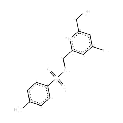 Cc1ccc(S(=O)(=O)OCc2cc(I)cc(CO)n2)cc1